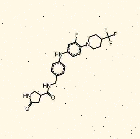 O=C1CC(C(=O)NCc2ccc(Nc3ccc(N4CCC(C(F)(F)F)CC4)c(F)c3)cc2)CN1